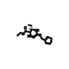 CCOC(=O)C(O)[C@H](CC)NC(=O)OCc1ccccc1